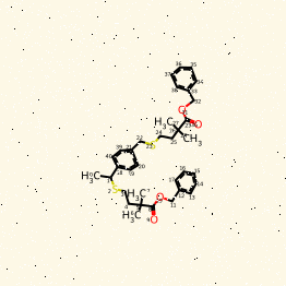 CC(SCCC(C)(C)C(=O)OCc1ccccc1)c1ccc(CSCCC(C)(C)C(=O)OCc2ccccc2)cc1